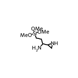 CO[Si](CCC(N)C1CN1)(OC)OC